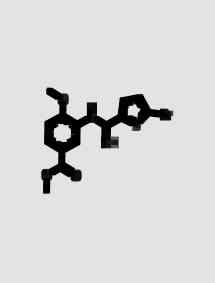 COC(=O)c1ccc(OC)c(NC(=N)c2ccc(Br)s2)c1